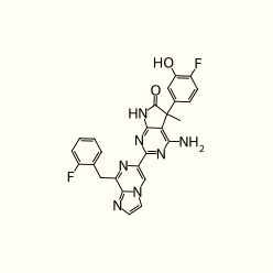 CC1(c2ccc(F)c(O)c2)C(=O)Nc2nc(-c3cn4ccnc4c(Cc4ccccc4F)n3)nc(N)c21